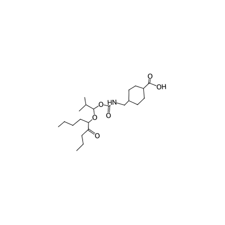 CCCCC(OC(OC(=O)NCC1CCC(C(=O)O)CC1)C(C)C)C(=O)CCC